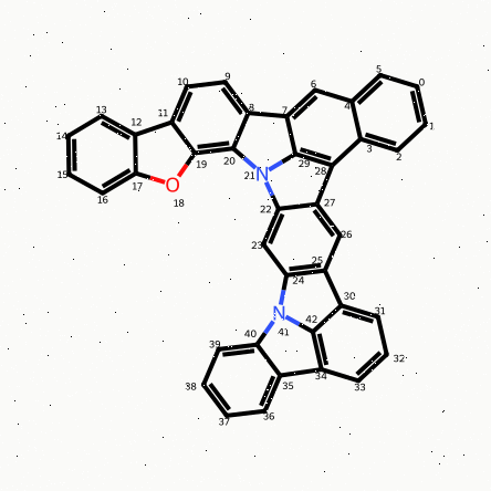 c1ccc2c(c1)cc1c3ccc4c5ccccc5oc4c3n3c4cc5c(cc4c2c13)c1cccc2c3ccccc3n5c21